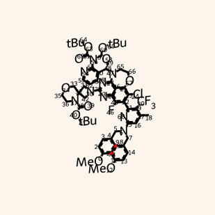 COc1ccc(CN(Cc2ccc(OC)cc2)c2cc(C)c(C(F)(F)F)c(-c3c(Cl)c4c5c(nc(N6CC7(COCCN7C(=O)OC(C)(C)C)C6)nc5c3F)N([C@H](C)c3cccnc3N(C(=O)OC(C)(C)C)C(=O)OC(C)(C)C)CCO4)n2)cc1